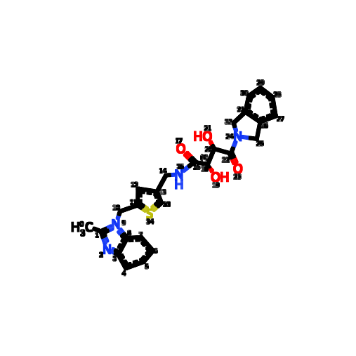 Cc1nc2ccccc2n1Cc1cc(CNC(=O)[C@H](O)C(O)C(=O)N2Cc3ccccc3C2)cs1